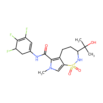 Cn1cc2c(c1C(=O)NC1=CC(F)=C(F)C(F)C1)CCC(C(C)(C)O)NS2(=O)=O